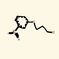 O=[SH](=O)c1cccc(OCCCCl)c1